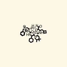 CC(C)[C@@H](CS(=O)(=O)Cc1ccccc1)NC(=O)N[C@H](C(=O)N1CC(C)C(C)(C)C[C@H]1C(=O)NC(CC1CCC1)C(=O)C(N)=O)C1CCCCC1